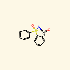 O=[SeH]1=N[SH](=O)(c2ccccc2)c2ccccc21